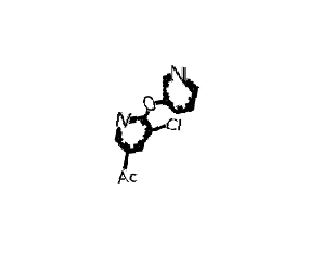 CC(=O)c1cnc(Oc2cccnc2)c(Cl)c1